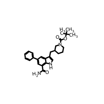 CC(C)(C)OC(=O)N1CCCC(Cc2c[nH]c3c(C(N)=O)cc(-c4ccccc4)cc23)C1